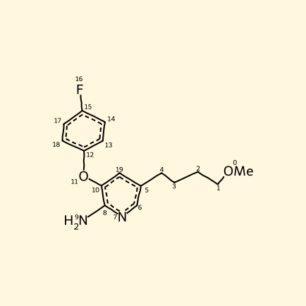 COCCCCc1cnc(N)c(Oc2ccc(F)cc2)c1